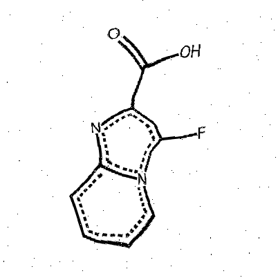 O=C(O)c1nc2ccccn2c1F